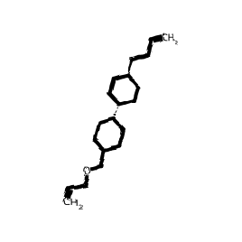 C=CCC[C@H]1CC[C@H](C2CCC(COCC=C)CC2)CC1